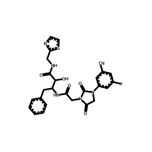 N#Cc1cc(F)cc(N2CC(=O)N(CC(=O)NC(Cc3ccccc3)C(O)C(=O)NCc3nccs3)C2=O)c1